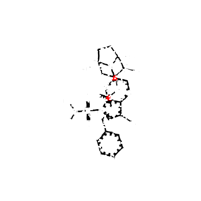 CN(C)S(=O)(=O)n1cc(I)c2ncc(N3[C@@H]4CC[C@H]3[C@@H](F)[C@@H](NC(=O)OCc3ccccc3)C4)nc21